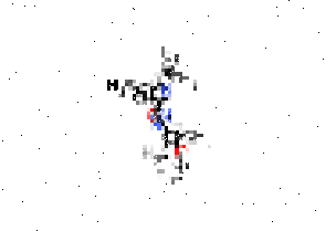 CCCOc1c(C)cc(-c2noc(-c3cnc(CC(C)C)c(CC(C)C)c3)n2)cc1C